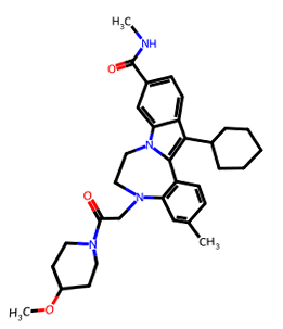 CNC(=O)c1ccc2c(C3CCCCC3)c3n(c2c1)CCN(CC(=O)N1CCC(OC)CC1)c1cc(C)ccc1-3